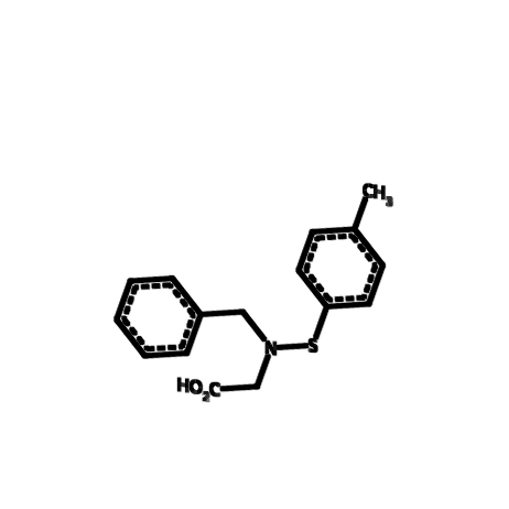 Cc1ccc(SN(CC(=O)O)Cc2ccccc2)cc1